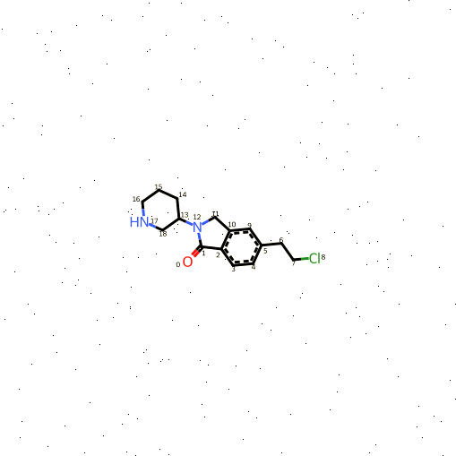 O=C1c2ccc(CCCl)cc2CN1C1CCCNC1